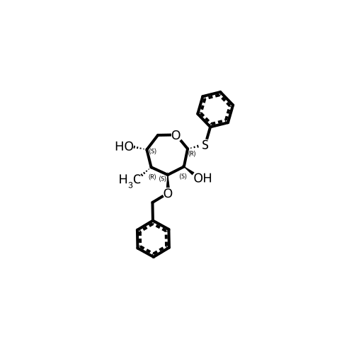 C[C@H]1[C@H](OCc2ccccc2)[C@H](O)[C@@H](Sc2ccccc2)OC[C@H]1O